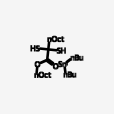 CCCCCCCCOC(=O)C(S)(S)CCCCCCCC.CCC[CH2][Sn][CH2]CCC